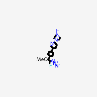 CO[C@H](c1ccc(-c2ccc(N3CCNCC3)nc2)cc1)C(CF)N=[N+]=[N-]